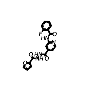 O=C(NNC(=O)c1ccco1)c1ccnc(NC(=O)c2ccccc2F)c1